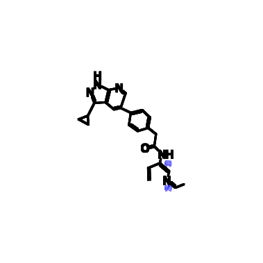 C=C/C(=C\N=C/C)NC(=O)Cc1ccc(-c2cnc3[nH]nc(C4CC4)c3c2)cc1